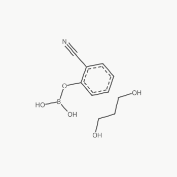 N#Cc1ccccc1OB(O)O.OCCCO